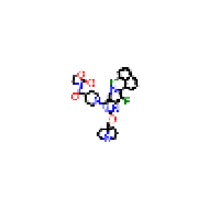 O=C1OCCN1C(=O)C1CCN(c2nc(OCC34CCCN3CCC4)nc3c(F)c(-c4cccc5cccc(F)c45)ncc23)CC1